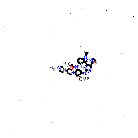 C=CC(=O)Nc1cc(Nc2ncc(-c3ncco3)c(-c3cn(C4CC4)c4ccccc34)n2)c(OC)cc1N1CCC(N2CCN(C)CC2)CC1